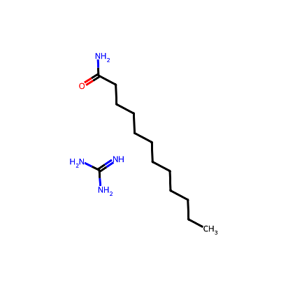 CCCCCCCCCCCC(N)=O.N=C(N)N